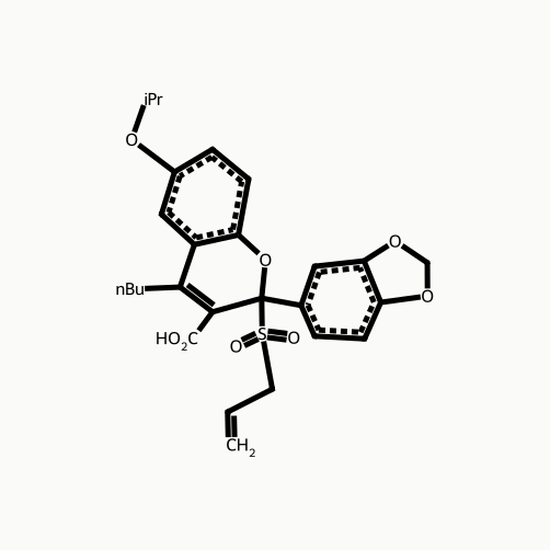 C=CCS(=O)(=O)C1(c2ccc3c(c2)OCO3)Oc2ccc(OC(C)C)cc2C(CCCC)=C1C(=O)O